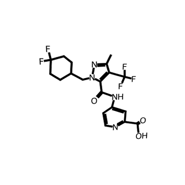 Cc1nn(CC2CCC(F)(F)CC2)c(C(=O)Nc2ccnc(C(=O)O)c2)c1C(F)(F)F